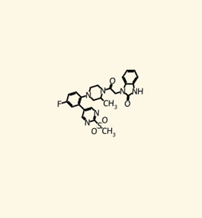 CC1CN(c2ccc(F)cc2-c2cnc(S(C)(=O)=O)nc2)CCN1C(=O)Cn1c(=O)[nH]c2ccccc21